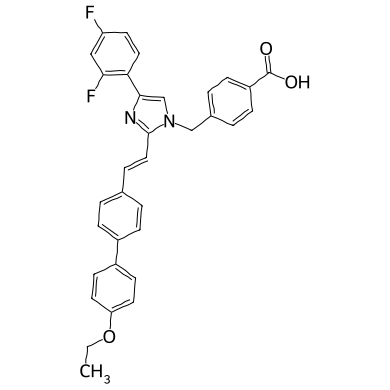 CCOc1ccc(-c2ccc(C=Cc3nc(-c4ccc(F)cc4F)cn3Cc3ccc(C(=O)O)cc3)cc2)cc1